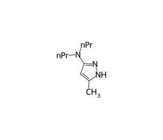 CCCN(CCC)c1cc(C)[nH]n1